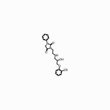 N#Cc1ccccc1OCC(O)CNCCN1C(=O)CN(c2ccccc2)C1=O